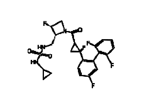 O=C([C@@H]1C[C@@]1(F)c1ccc(F)cc1-c1c(F)cccc1F)N1C[C@@H](F)[C@H]1CNS(=O)(=O)NC1CC1